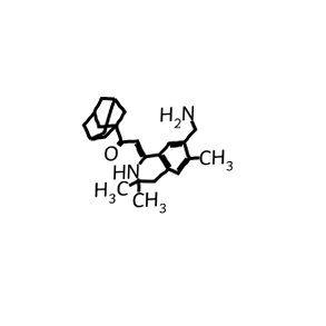 Cc1cc2c(cc1CN)C(=CC(=O)C13CC4CC(CC(C4)C1)C3)NC(C)(C)C2